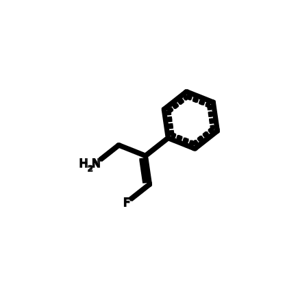 NCC(=CF)c1ccccc1